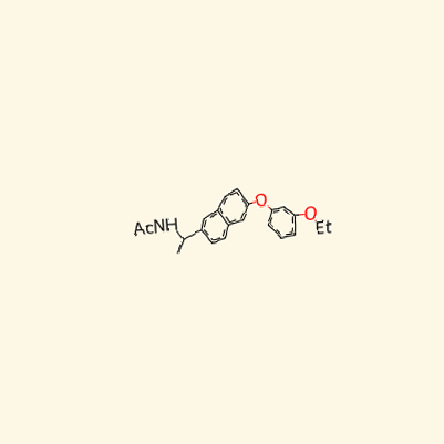 CCOc1cccc(Oc2ccc3cc(C(C)NC(C)=O)ccc3c2)c1